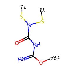 CCCCOC(=N)NC(=O)N(SCC)SCC